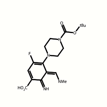 CN/C=C1\C(=N)C(C(=O)O)=CC(F)=C1N1CCN(C(=O)OC(C)(C)C)CC1